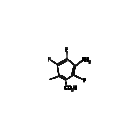 Cc1c(F)c(F)c(N)c(F)c1C(=O)O